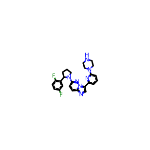 Fc1ccc(F)c(C2CCCN2c2ccc3ncc(-c4cccc(N5CCNCC5)n4)n3n2)c1